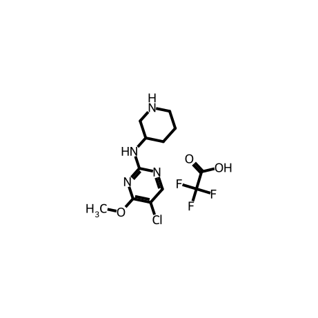 COc1nc(NC2CCCNC2)ncc1Cl.O=C(O)C(F)(F)F